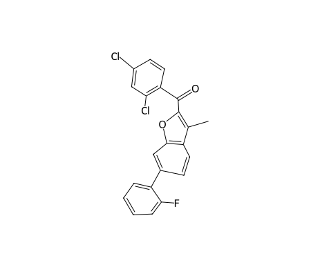 Cc1c(C(=O)c2ccc(Cl)cc2Cl)oc2cc(-c3ccccc3F)ccc12